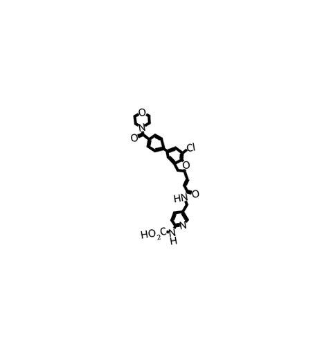 O=C(O)Nc1ccc(CNC(=O)C=CC2Cc3cc(-c4ccc(C(=O)N5CCOCC5)cc4)cc(Cl)c3O2)cn1